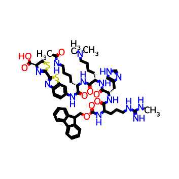 CNC(=N)NCCCC(NC(=O)OCC1c2ccccc2-c2ccccc21)C(=O)N[C@@H](Cc1c[nH]cn1)C(=O)N[C@@H](CCCCN(C)C)C(=O)N[C@@H](CCCCNC(C)=O)C(=O)Nc1ccc2nc(C3=N[C@@H](C(=O)O)CS3)sc2c1